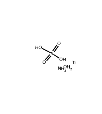 N.O.O=S(=O)(O)O.[Ti]